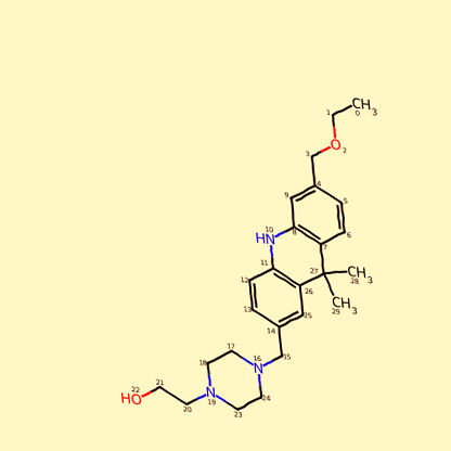 CCOCc1ccc2c(c1)Nc1ccc(CN3CCN(CCO)CC3)cc1C2(C)C